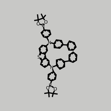 CC1(C)OB(c2ccc(N(c3ccc(-c4ccccc4)cc3)c3ccc4sc5ccc(N(c6ccc(B7OC(C)(C)C(C)(C)O7)cc6)c6ccc(-c7ccccc7)cc6)cc5c4c3)cc2)OC1(C)C